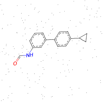 O=CNc1cccc(-c2ccc(C3CC3)cc2)c1